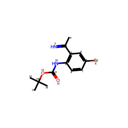 CC(=N)c1cc(Br)ccc1NC(=O)OC(C)(C)C